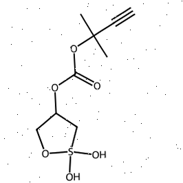 C#CC(C)(C)OC(=O)OC1COS(O)(O)C1